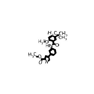 CCOC(=O)C1=NCC(c2cccc(NC(=O)c3cc(C(C)(C)C)ccc3OC)c2)=C1